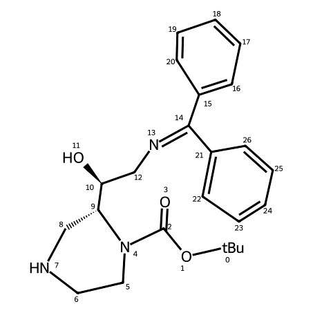 CC(C)(C)OC(=O)N1CCNC[C@@H]1[C@@H](O)CN=C(c1ccccc1)c1ccccc1